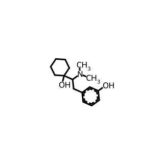 CN(C)C(Cc1cccc(O)c1)C1(O)CCCCC1